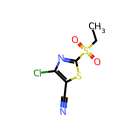 CCS(=O)(=O)c1nc(Cl)c(C#N)s1